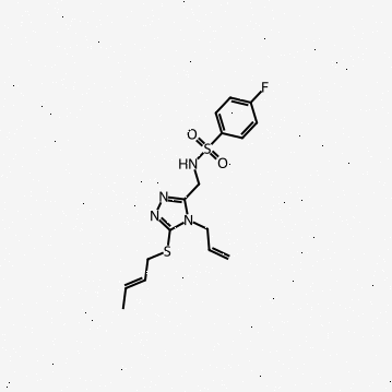 C=CCn1c(CNS(=O)(=O)c2ccc(F)cc2)nnc1SC/C=C/C